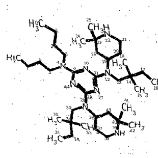 CCCCN(CCCC)c1nc(N(CC(C)(C)CC)C2CCNC(C)(C)C2)nc(N(CC(C)(C)CC)C2CCNC(C)(C)C2)n1